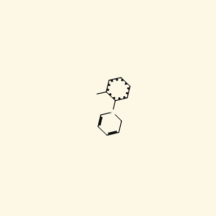 Oc1ccccc1N1C=CC=CC1